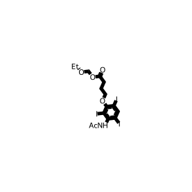 CCOCOC(=O)CCCOc1c(I)cc(I)c(NC(C)=O)c1I